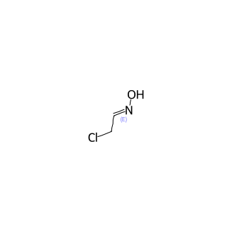 O/N=C/CCl